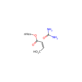 CCCCCCOC(=O)/C=C\C(=O)O.NC(N)=O